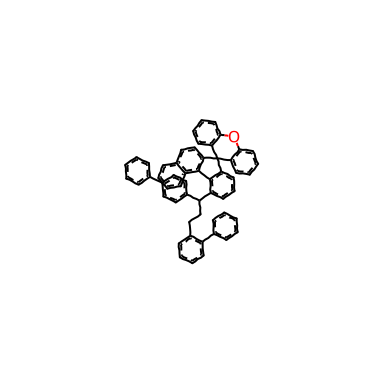 c1ccc(-c2ccc(C(CCc3ccccc3-c3ccccc3)c3cccc4c3-c3c(ccc5ccccc35)C43c4ccccc4Oc4ccccc43)cc2)cc1